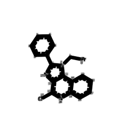 CC(C)Cn1c(-c2ccccc2)nc2c(Cl)nc3ccccc3c21